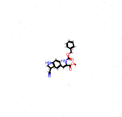 COC(=O)/C(=C/c1ccc2c(c1)C(C#N)CN2)NC(=O)OCc1ccccc1